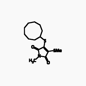 CSC1=C(SC2CCCCCCCC2)C(=O)N(C)C1=O